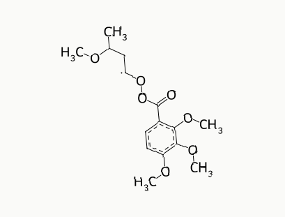 COc1ccc(C(=O)OO[CH]CC(C)OC)c(OC)c1OC